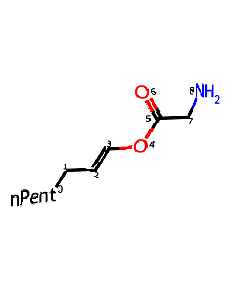 CCCCCCC=COC(=O)CN